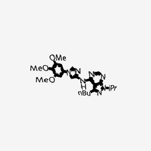 CCCCc1nn(C(C)C)c2ncnc(Nc3cn(-c4cc(OC)c(OC)c(OC)c4)cn3)c12